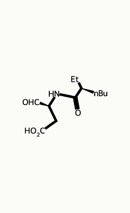 CCCC[C@H](CC)C(=O)N[C@H](C=O)CC(=O)O